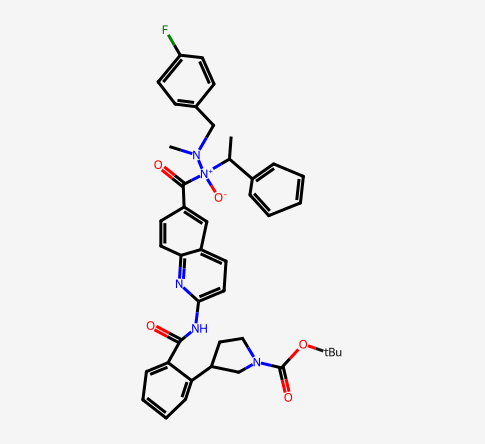 CC(c1ccccc1)[N+]([O-])(C(=O)c1ccc2nc(NC(=O)c3ccccc3C3CCN(C(=O)OC(C)(C)C)C3)ccc2c1)N(C)Cc1ccc(F)cc1